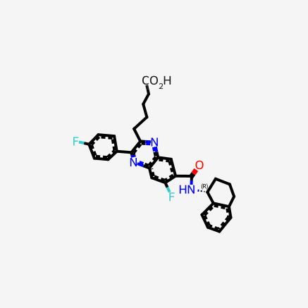 O=C(O)CCCCc1nc2cc(C(=O)N[C@@H]3CCCc4ccccc43)c(F)cc2nc1-c1ccc(F)cc1